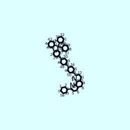 c1ccc(-c2ccc3ccc4ccc(-c5ccc(-c6ccc(-c7ccc8c(c7)C(c7ccccc7)(c7ccccc7)c7ccccc7-8)cc6)cc5)nc4c3n2)cc1